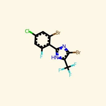 Fc1cc(Cl)cc(Br)c1-c1nc(Br)c(C(F)(F)F)[nH]1